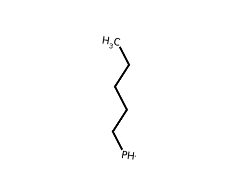 CCCCC[PH]